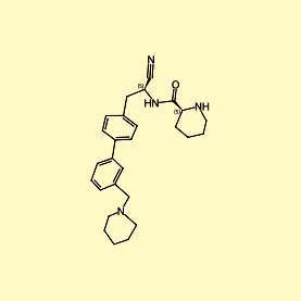 N#C[C@H](Cc1ccc(-c2cccc(CN3CCCCC3)c2)cc1)NC(=O)[C@@H]1CCCCN1